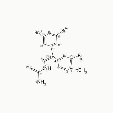 Cc1ccc(/C(=N\NC(N)=S)c2cc(Br)cc(Br)c2)cc1Br